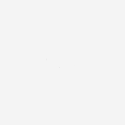 CCC(C(=O)O)N(CCOC)CCOC